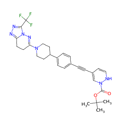 CC(C)(C)OC(=O)N1C=C(C#Cc2ccc(C3CCN(C4=Nn5c(nnc5C(F)(F)F)CC4)CC3)cc2)C=CN1